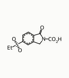 CCS(=O)(=O)c1ccc2c(c1)CN(C(=O)O)C2=O